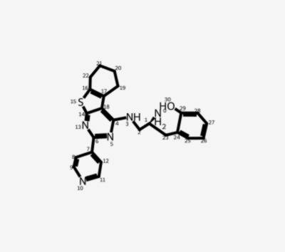 N[C@H](CNc1nc(-c2ccncc2)nc2sc3c(c12)CCCC3)Cc1ccccc1O